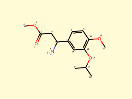 COC(=O)CC(N)c1ccc(OC)c(OC(C)C)c1